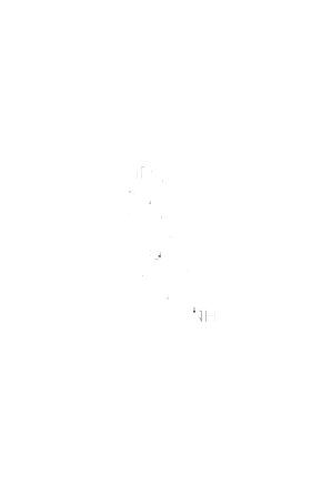 CC(C)C(C)(C)C(=O)C(C)(C)COC(C)(C)CCN